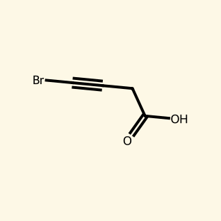 O=C(O)CC#CBr